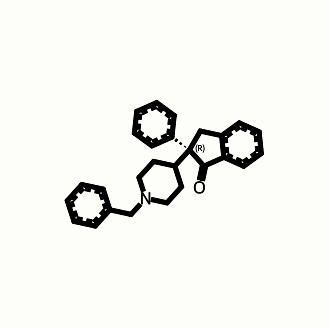 O=C1c2ccccc2C[C@]1(c1ccccc1)C1CCN(Cc2ccccc2)CC1